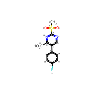 CS(=O)(=O)c1ncc(-c2ccc(F)cc2)c(C(=O)O)n1